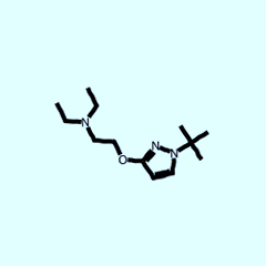 CCN(CC)CCOc1ccn(C(C)(C)C)n1